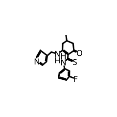 CC1CC(=O)C(C(=S)Nc2cccc(F)c2)=C(NCc2ccncc2)C1